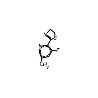 Cc1cnc(C2=NCCS2)c(F)c1